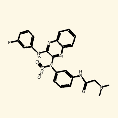 CN(C)CC(=O)Nc1cccc(N(c2nc3ccccc3nc2Nc2cccc(F)c2)[SH](=O)=O)c1